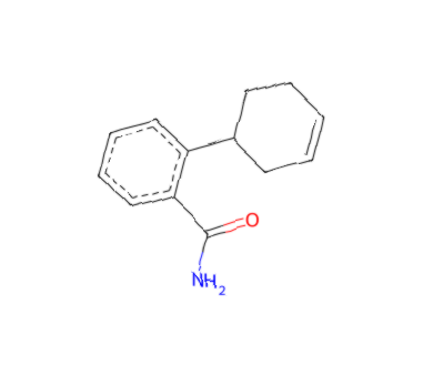 NC(=O)c1ccccc1C1CC=CCC1